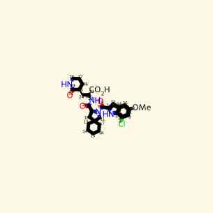 COc1cc(Cl)c2[nH]c(C(=O)N3CC4(CCCCC4)CC3C(=O)N[C@@H](C[C@@H]3CCCNC3=O)C(=O)O)cc2c1